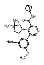 COc1cc(C#N)cc(-c2cncc(C(=O)NC34CC(C3)C4)c2N2CC[C@](C)(N)C2)c1